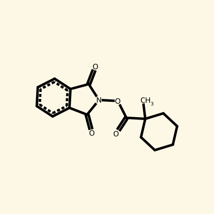 CC1(C(=O)ON2C(=O)c3ccccc3C2=O)CCCCC1